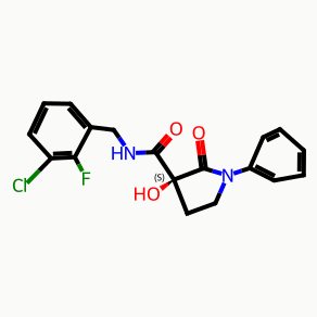 O=C(NCc1cccc(Cl)c1F)[C@@]1(O)CCN(c2ccccc2)C1=O